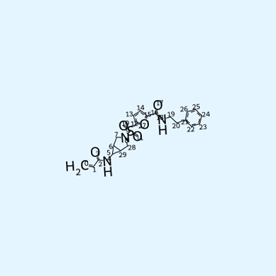 C=CC(=O)NC1C2CN(S(=O)(=O)c3ccc(C(=O)NCCc4ccccc4)o3)CC21